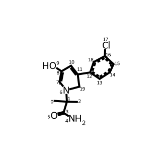 CC(C)(C(N)=O)N1[C]=C(O)C=C(c2cccc(Cl)c2)C1